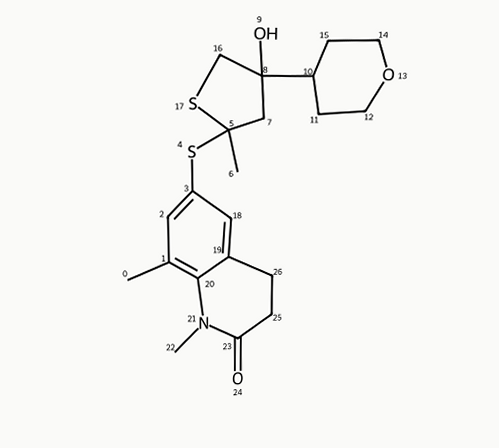 Cc1cc(SC2(C)CC(O)(C3CCOCC3)CS2)cc2c1N(C)C(=O)CC2